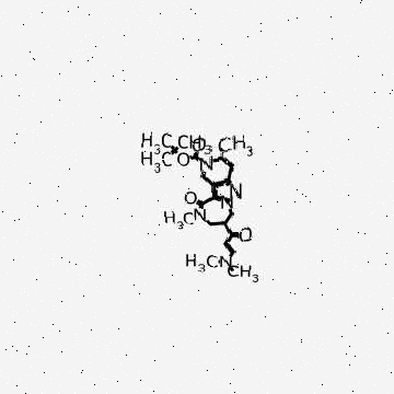 C[C@@H]1Cc2nn3c(c2CN1C(=O)OC(C)(C)C)C(=O)N(C)CC(C(=O)/C=C/N(C)C)C3